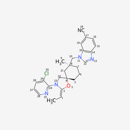 CC=C1O[C@]2(CCC[C@](C)(Cn3cnc4ccc(C#N)cc43)C2)CN1c1ncccc1Cl